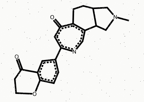 CN1CC2CCc3c(cnc(-c4ccc5c(c4)C(=O)CCO5)cc3=O)C2C1